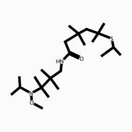 CON(C(C)C)C(C)(C)C(C)(C)CNC(=O)CC(C)(C)CC(C)(C)SC(C)C